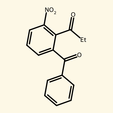 CCC(=O)c1c(C(=O)c2ccccc2)cccc1[N+](=O)[O-]